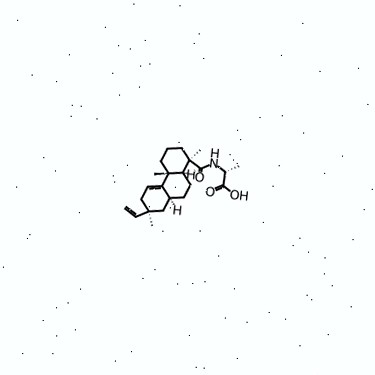 C=C[C@@]1(C)CC=C2[C@@H](CC[C@@H]3[C@](C)(C(=O)N[C@H](C)C(=O)O)CCC[C@@]23C)C1